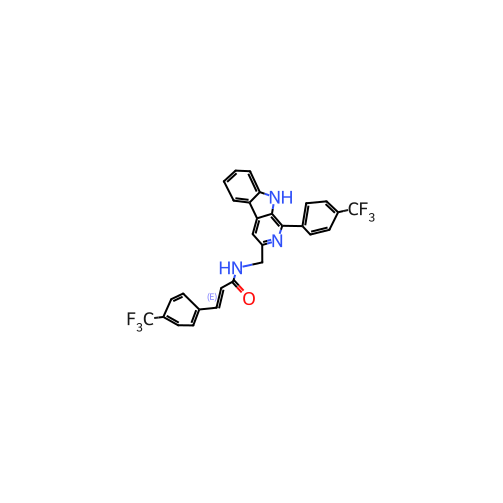 O=C(/C=C/c1ccc(C(F)(F)F)cc1)NCc1cc2c([nH]c3ccccc32)c(-c2ccc(C(F)(F)F)cc2)n1